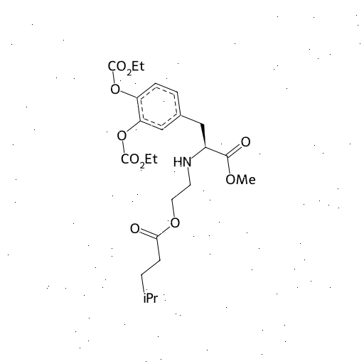 CCOC(=O)Oc1ccc(C[C@H](NCCOC(=O)CCC(C)C)C(=O)OC)cc1OC(=O)OCC